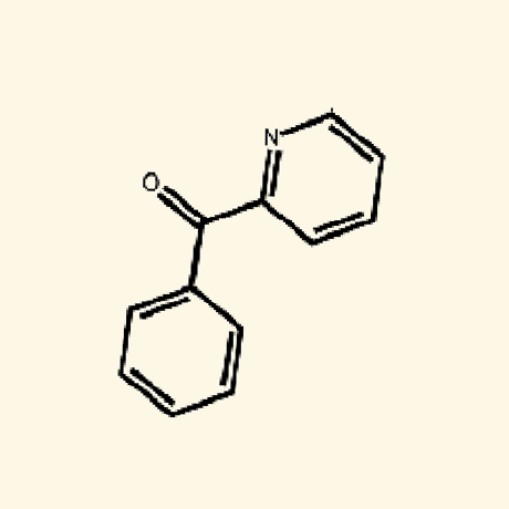 O=C(c1ccccc1)c1ccc[c]n1